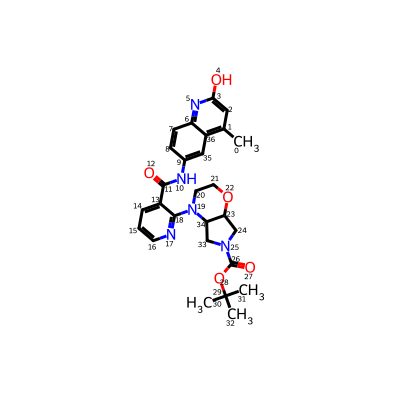 Cc1cc(O)nc2ccc(NC(=O)c3cccnc3N3CCOC4CN(C(=O)OC(C)(C)C)CC43)cc12